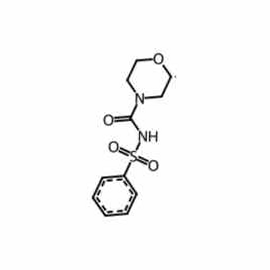 O=C(NS(=O)(=O)c1ccccc1)N1C[CH]OCC1